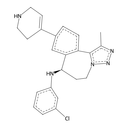 Cc1nnn2c1-c1ccc(C3=CCNCC3)cc1[C@H](Nc1cccc(Cl)c1)CC2